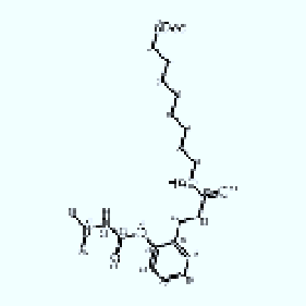 CCCCCCCCCCCCCCCCCC[AsH]C(=O)CCc1ccccc1OC(=O)NN(C)C